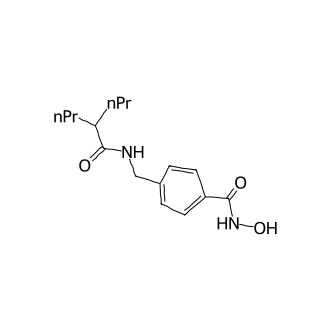 CCCC(CCC)C(=O)NCc1ccc(C(=O)NO)cc1